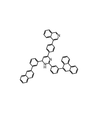 C1=C(c2ccc(-c3cncc4ccccc34)cc2)N=C(c2cccc(-c3cc4ccccc4c4ccccc34)c2)NC1c1cccc(-c2ccc3ccccc3c2)c1